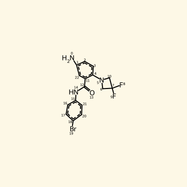 Nc1ccc(N2CC(F)(F)C2)c(C(=O)Nc2ccc(Br)cc2)c1